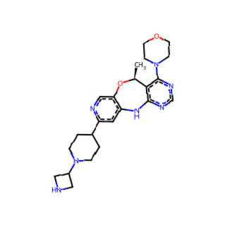 C[C@@H]1Oc2cnc(C3CCN(C4CNC4)CC3)cc2Nc2ncnc(N3CCOCC3)c21